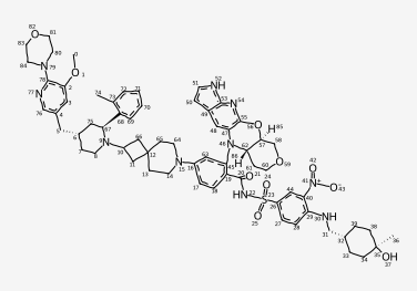 COc1cc(C[C@H]2CCN(C3CC4(CCN(c5ccc(C(=O)NS(=O)(=O)c6ccc(NC[C@H]7CC[C@](C)(O)CC7)c([N+](=O)[O-])c6)c(N6c7cc8cc[nH]c8nc7O[C@H]7COCC[C@@H]76)c5)CC4)C3)[C@H](c3ccccc3C)C2)cnc1N1CCOCC1